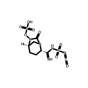 N=C(NS(=O)(=O)N=C=O)[C@@H]1CC[C@@H]2CN1C(=O)N2OS(=O)(=O)O